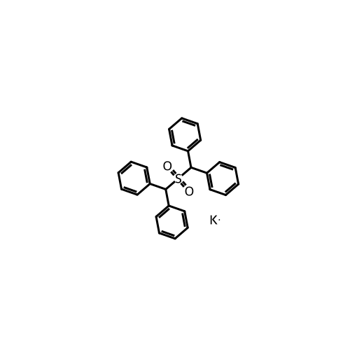 O=S(=O)(C(c1ccccc1)c1ccccc1)C(c1ccccc1)c1ccccc1.[K]